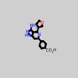 Nc1n[nH]c2cc(-c3ccc(C(=O)O)cc3)nc(-c3ccoc3)c12